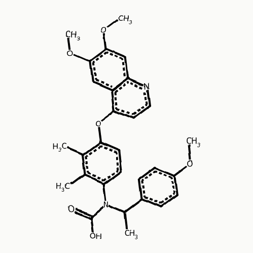 COc1ccc(C(C)N(C(=O)O)c2ccc(Oc3ccnc4cc(OC)c(OC)cc34)c(C)c2C)cc1